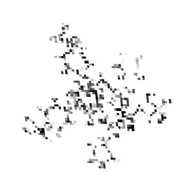 C[SiH](CCC(F)(F)F)[Zr]([Cl])([Cl])([CH]1C(CC2CCCC2)=Cc2c(-c3ccc([Si](C)(C)C)cc3)cccc21)[CH]1C(CC2CCCC2)=Cc2c(-c3ccc([Si](C)(C)C)cc3)cccc21